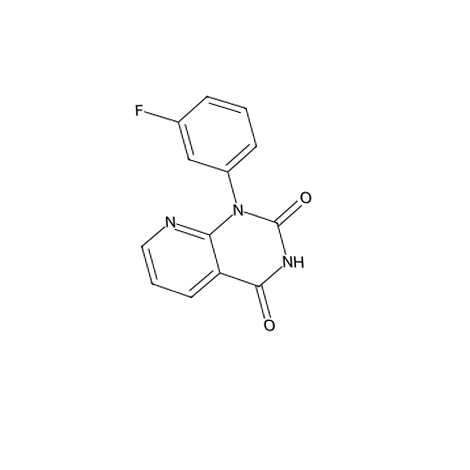 O=c1[nH]c(=O)n(-c2cccc(F)c2)c2ncccc12